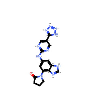 O=C1CCCN1c1cc(Nc2ncc(-c3nnn[nH]3)cn2)cc2[nH]cnc12